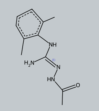 CC(=O)N/N=C(\N)Nc1c(C)cccc1C